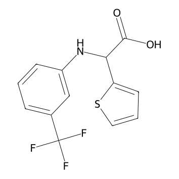 O=C(O)C(Nc1cccc(C(F)(F)F)c1)c1cccs1